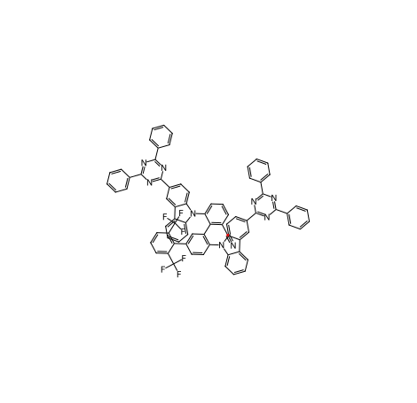 N#Cc1cccc(-n2c3ccccc3c3cc(-c4nc(-c5ccccc5)nc(-c5ccccc5)n4)ccc32)c1-c1cc(-c2c(C(F)(F)F)cccc2C(F)(F)F)ccc1-n1c2ccccc2c2cc(-c3nc(-c4ccccc4)nc(-c4ccccc4)n3)ccc21